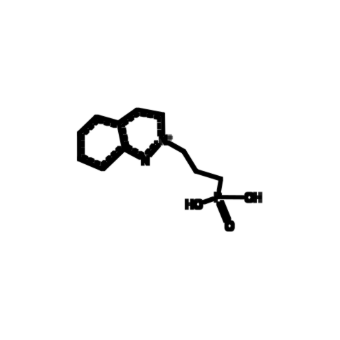 O=P(O)(O)CCC[n+]1ccc2ccccc2n1